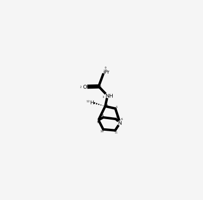 CC(C)C(=O)N[C@H]1CN2CCC1CC2